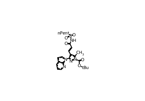 CCCCCS(=O)(=O)NC(=O)/C=C/c1c(-n2ccc3cccnc32)nn(C(=O)OC(C)(C)C)c1C